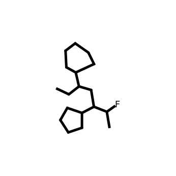 CCC(CC(C(C)F)C1CCCC1)C1CCCCC1